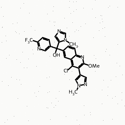 COc1nc2ccc(C(O)(c3ccc(C(F)(F)F)nc3)c3cncn3C)cc2c(Cl)c1-c1cnn(C)c1